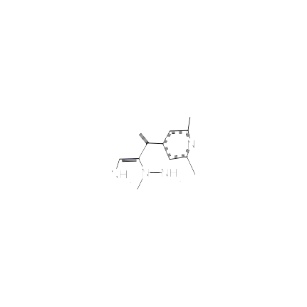 C=C(/C(=C/N)N(C)N)c1cc(C)nc(C)c1